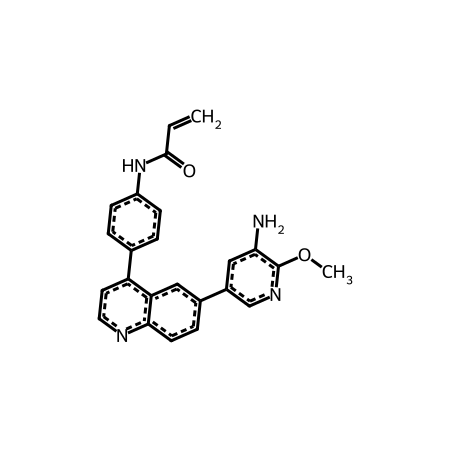 C=CC(=O)Nc1ccc(-c2ccnc3ccc(-c4cnc(OC)c(N)c4)cc23)cc1